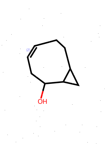 OC1C/C=C\CCC2CC12